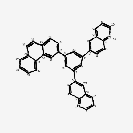 c1cnc2ccc(-c3cc(-c4ccc5ncccc5c4)cc(-c4ccc5ccc6ccccc6c5c4)c3)cc2c1